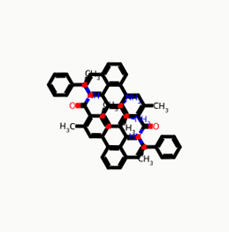 Cc1cc(-c2cccc3cccc(-c4ccc(-c5cccc6cccc(-c7cc(C)c(C(=O)N[C@H](C)c8ccccc8)c(C)c7)c56)c(N)c4N)c23)cc(C)c1C(=O)N[C@H](C)c1ccccc1